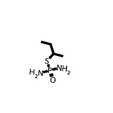 CCC(C)SP(N)(N)=O